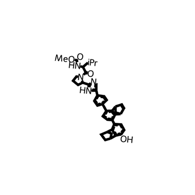 COC(=O)NC(C(=O)N1CCCC1c1ncc(-c2ccc(-c3ccc(-c4ccc(O)c5c4C4CCC5C4)c4c3C3C=CC4C3)cc2)[nH]1)C(C)C